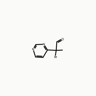 CC(Br)(C=O)c1ccncn1